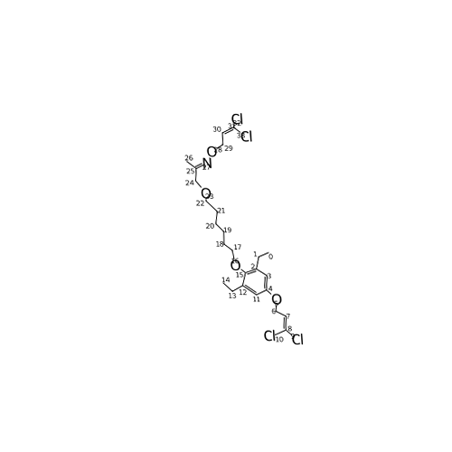 CCc1cc(OCC=C(Cl)Cl)cc(CC)c1OCCCCCCOCC(C)=NOCC=C(Cl)Cl